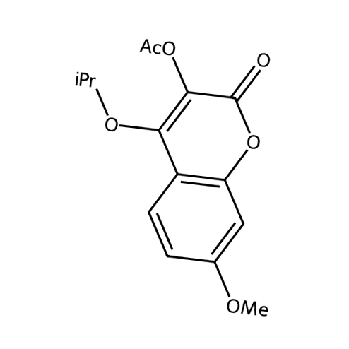 COc1ccc2c(OC(C)C)c(OC(C)=O)c(=O)oc2c1